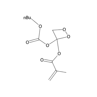 C=C(C)C(=O)OC1(OC(=O)OCCCC)COO1